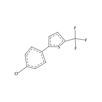 FC(F)(F)c1ccc(-c2ccc(Cl)cc2)s1